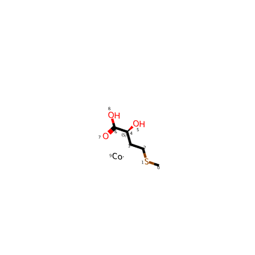 CSCC[C@H](O)C(=O)O.[Co]